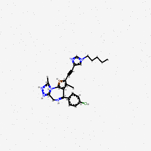 CCCCCn1cnc(C#Cc2sc3c(c2C)C(c2ccc(Cl)cc2)=NCc2nnc(C)n2-3)c1